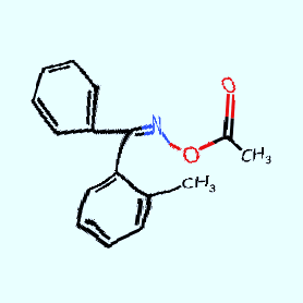 CC(=O)ON=C(c1ccccc1)c1ccccc1C